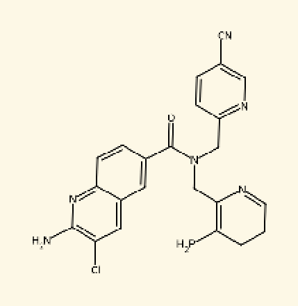 N#Cc1ccc(CN(CC2=C(P)CCC=N2)C(=O)c2ccc3nc(N)c(Cl)cc3c2)nc1